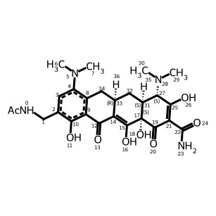 CC(=O)NCc1cc(N(C)C)c2c(c1O)C(=O)C1=C(O)[C@]3(O)C(=O)C(C(N)=O)=C(O)[C@@H](N(C)C)[C@@H]3C[C@@H]1C2